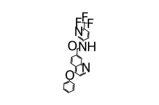 O=C(Nc1ccc(C(F)(F)F)nc1)c1ccc2c(Oc3ccccc3)ccnc2c1